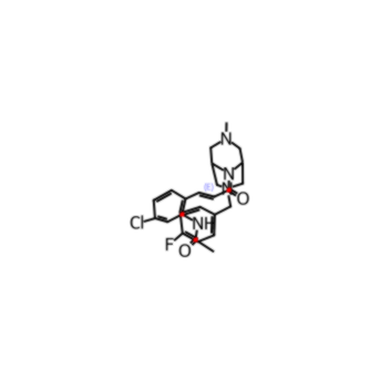 CC(=O)Nc1cc(Cl)ccc1/C=C/C(=O)N1C2CN(C)CC1CN(Cc1ccc(F)cc1)C2